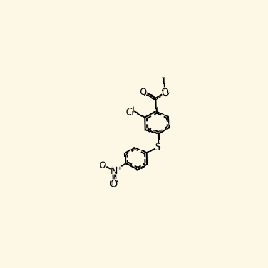 COC(=O)c1ccc(Sc2ccc([N+](=O)[O-])cc2)cc1Cl